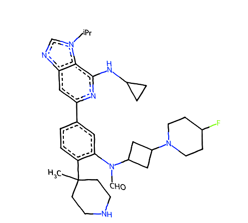 CC(C)n1cnc2cc(-c3ccc(C4(C)CCNCC4)c(N(C=O)C4CC(N5CCC(F)CC5)C4)c3)nc(NC3CC3)c21